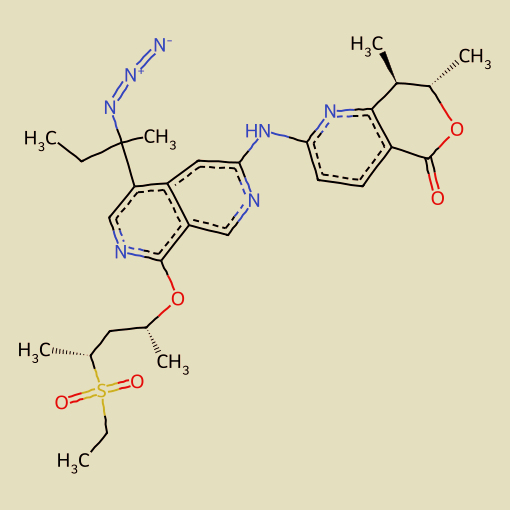 CCC(C)(N=[N+]=[N-])c1cnc(O[C@H](C)C[C@@H](C)S(=O)(=O)CC)c2cnc(Nc3ccc4c(n3)[C@@H](C)[C@H](C)OC4=O)cc12